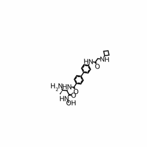 C[C@@H](N)[C@H](NC(=O)c1ccc(-c2ccc(NC(=O)CNC3CCC3)cc2)cc1)C(=O)NO